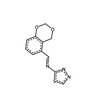 C(=Nc1nncs1)c1cccc2c1COCO2